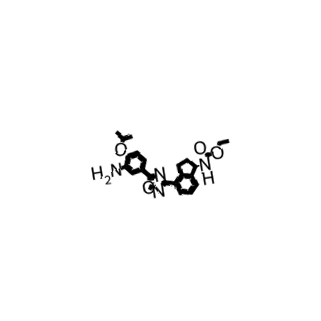 CCOC(=O)N[C@H]1CCc2c(-c3noc(-c4ccc(OC(C)C)c(N)c4)n3)cccc21